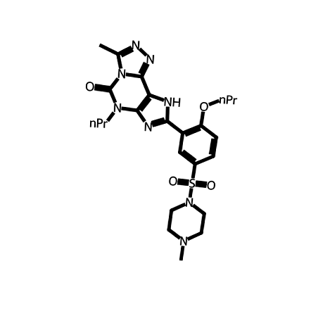 CCCOc1ccc(S(=O)(=O)N2CCN(C)CC2)cc1-c1nc2c([nH]1)c1nnc(C)n1c(=O)n2CCC